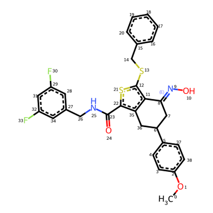 COc1ccc(C2C/C(=N\O)c3c(SCc4ccccc4)sc(C(=O)NCc4cc(F)cc(F)c4)c3C2)cc1